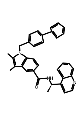 Cc1c(C)n(Cc2ccc(-c3ccccc3)cc2)c2ccc(C(=O)N[C@H](C)c3ccnc4ccccc34)cc12